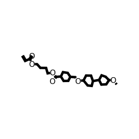 C=CC(=O)OCCCCOC(=O)C1CCC(COC2CCC(C3CCC(OC)CC3)CC2)CC1